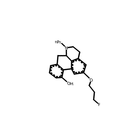 CCCN1CCc2cc(OCCCF)cc3c2C1Cc1cccc(O)c1-3